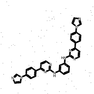 c1cc(Nc2nccc(-c3ccc(-n4ccnc4)cc3)n2)cc(Nc2nccc(-c3ccc(-n4ccnc4)cc3)n2)c1